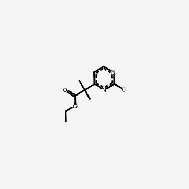 CCOC(=O)C(C)(C)c1ccnc(Cl)n1